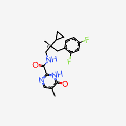 Cc1cnc(C(=O)NC[C@@](C)(Cc2ccc(F)cc2F)C2CC2)[nH]c1=O